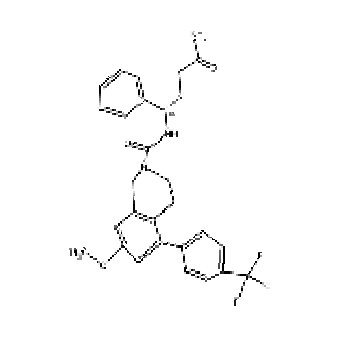 COc1cc2c(c(-c3ccc(C(F)(F)F)cc3)c1)CCN(C(=O)N[C@@H](CCC(N)=O)c1ccccc1)C2